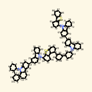 c1ccc(-c2ccccc2-n2c3ccccc3c3cc(-c4ccc5c(c4)c4ccccc4n5-c4cccc5c4sc4cccc(-c6cccc(-c7cccc(-n8c9ccccc9c9cc(-c%10ccc%11c(c%10)c%10ccccc%10n%11-c%10cccc%11c%10sc%10ccccc%10%11)ccc98)c7)c6)c45)ccc32)cc1